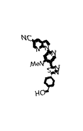 CNc1cc(-n2ccc3cc(C#N)cnc32)ncc1-c1nnc([C@H]2CC[C@H](CO)CC2)s1